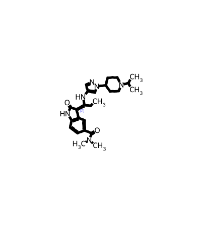 CC/C(Nc1cnn(C2CCN(C(C)C)CC2)c1)=C1/C(=O)Nc2ccc(C(=O)N(C)C)cc21